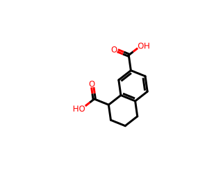 O=C(O)c1ccc2c(c1)C(C(=O)O)CCC2